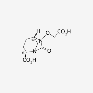 O=C(O)CON1C(=O)N2C[C@@H]1CC[C@@H]2C(=O)O